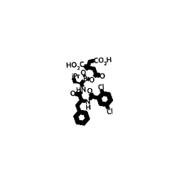 CC(C)C[C@H](NC(=O)C(Cc1ccccc1)NC(=O)c1cc(Cl)ccc1Cl)B1OC(=O)CC(CC(=O)O)(C(=O)O)O1